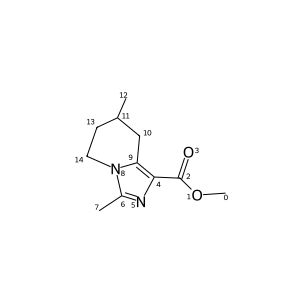 COC(=O)c1nc(C)n2c1CC(C)CC2